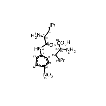 CC(C)C[C@H](N)C(=O)Nc1ccc([N+](=O)[O-])cc1.CC(C)C[C@H](N)C(=O)O